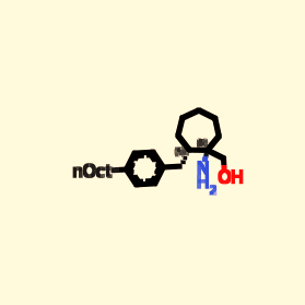 CCCCCCCCc1ccc(C[C@@H]2CCCCC[C@]2(N)CO)cc1